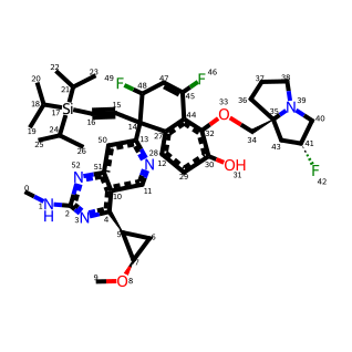 CNc1nc([C@H]2C[C@H]2OC)c2cnc(C3(C#C[Si](C(C)C)(C(C)C)C(C)C)c4ccc(O)c(OC[C@@]56CCCN5C[C@H](F)C6)c4C(F)=CC3F)cc2n1